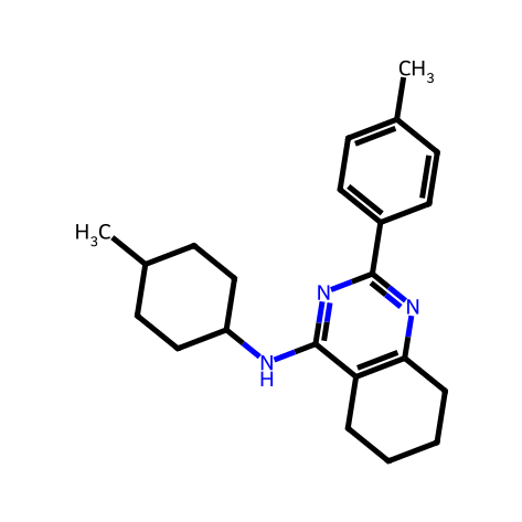 Cc1ccc(-c2nc3c(c(NC4CCC(C)CC4)n2)CCCC3)cc1